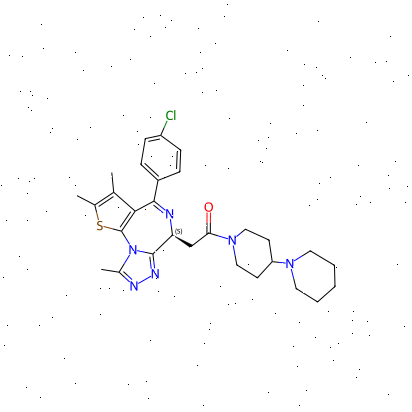 Cc1sc2c(c1C)C(c1ccc(Cl)cc1)=N[C@@H](CC(=O)N1CCC(N3CCCCC3)CC1)c1nnc(C)n1-2